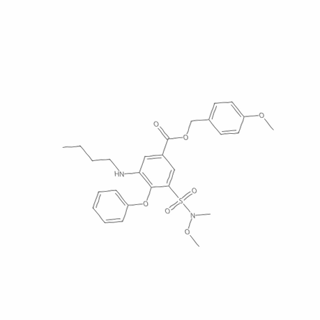 CCCCNc1cc(C(=O)OCc2ccc(OC)cc2)cc(S(=O)(=O)N(C)OC)c1Oc1ccccc1